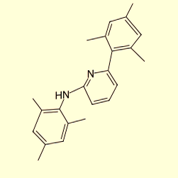 Cc1cc(C)c(Nc2cccc(-c3c(C)cc(C)cc3C)n2)c(C)c1